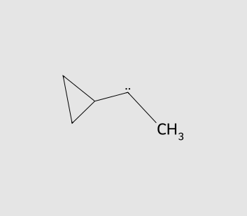 C[C]C1CC1